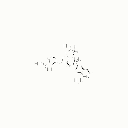 N=C(N)c1cccc(CN2CC[C@H](NS(=O)(=O)c3ccc4c(N)nccc4c3)C2=O)c1.O=C(O)C(F)(F)F